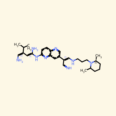 CC(C)C(=C/N)/C=C(\N)Nc1ccc2ncc(/C(C=N)=C/NCCCN3C(C)CCC[C@@H]3C)cc2n1